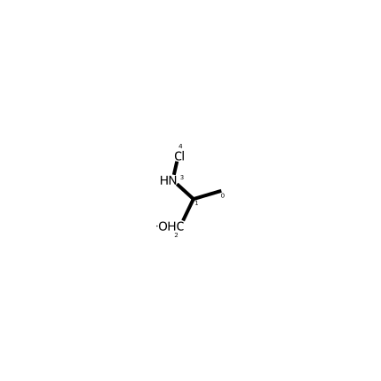 CC([C]=O)NCl